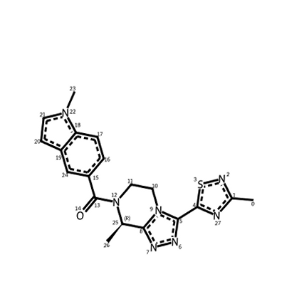 Cc1nsc(-c2nnc3n2CCN(C(=O)c2ccc4c(ccn4C)c2)[C@@H]3C)n1